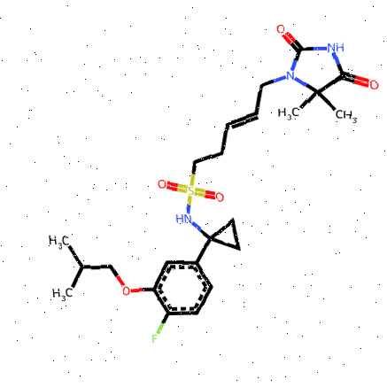 CC(C)COc1cc(C2(NS(=O)(=O)CC/C=C/CN3C(=O)NC(=O)C3(C)C)CC2)ccc1F